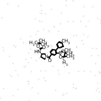 Cc1ccc(-c2ccc(C(=O)N3CC[C@H](NC(=O)OC(C)(C)C)C3)cc2B2OC(C)(C)C(C)(C)O2)cc1